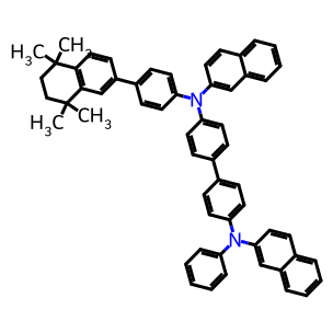 CC1(C)CCC(C)(C)c2cc(-c3ccc(N(c4ccc(-c5ccc(N(c6ccccc6)c6ccc7ccccc7c6)cc5)cc4)c4ccc5ccccc5c4)cc3)ccc21